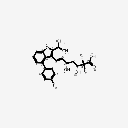 CC(C)c1oc2cccc(-c3ccc(F)cc3)c2c1/C=C/[C@@H](O)C[C@@H](O)C(F)(F)C(=O)O